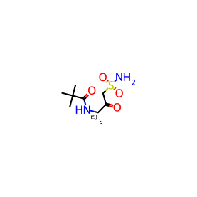 C[C@H](NC(=O)C(C)(C)C)C(=O)CS(N)(=O)=O